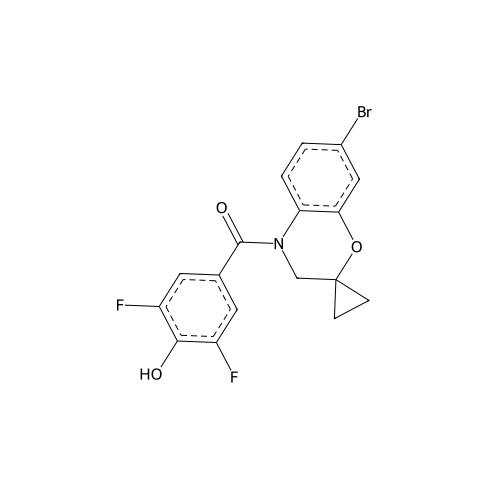 O=C(c1cc(F)c(O)c(F)c1)N1CC2(CC2)Oc2cc(Br)ccc21